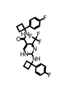 O=C(NC1(c2ccc(F)cc2)CCC1)C1=CNC(NC2(c3ccc(F)cc3)CCC2)N=C1C(F)(F)F